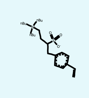 C=Cc1ccc(CC(CC[N+](CCCC)(CCCC)CCCC)S(=O)(=O)[O-])cc1